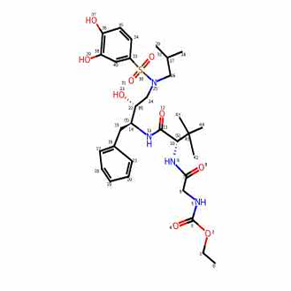 CCOC(=O)NCC(=O)N[C@H](C(=O)N[C@@H](Cc1ccccc1)[C@H](O)CN(CC(C)C)S(=O)(=O)c1ccc(O)c(O)c1)C(C)(C)C